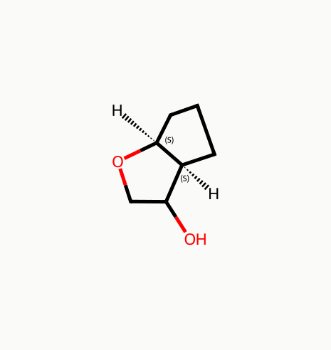 OC1CO[C@H]2CCC[C@@H]12